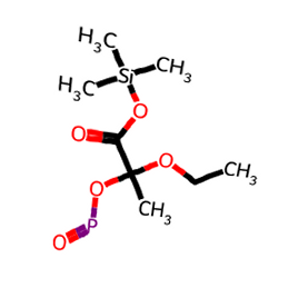 CCOC(C)(OP=O)C(=O)O[Si](C)(C)C